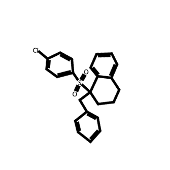 O=S(=O)(c1ccc(Cl)cc1)C1(Cc2ccccc2)CCCc2ccccc21